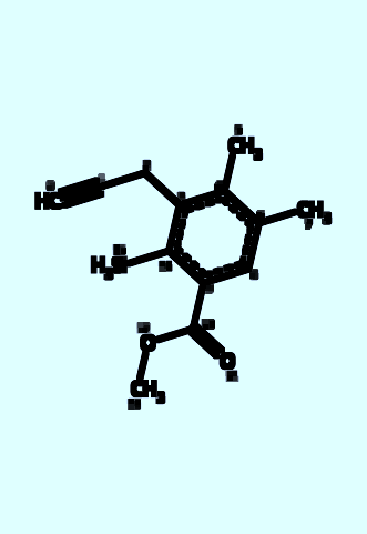 C#CCc1c(C)c(C)cc(C(=O)OC)c1[SiH3]